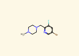 CN1CCN(Cc2ncc(Br)cc2F)CC1